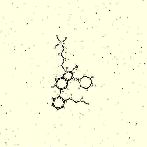 COCOc1ccccc1-c1cc2c(N3CCOCC3)c(Br)n(COCC[Si](C)(C)C)c2nn1